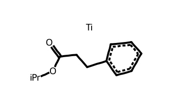 CC(C)OC(=O)CCc1ccccc1.[Ti]